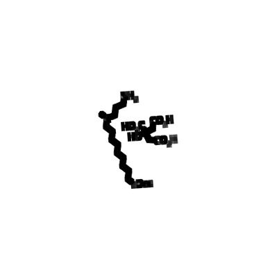 CCCCCCCCCCCCCCCCCCCN(C)CCCN.O=C(O)CC(O)(CC(=O)O)C(=O)O